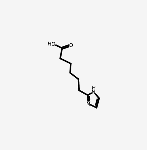 O=C(O)CCCCCc1n[c]c[nH]1